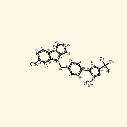 Cn1cc(C(F)(F)F)nc1-c1ccc(Cn2c3nc(Cl)ncc3n3cncc23)cc1